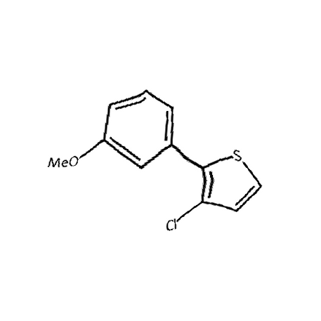 COc1cccc(-c2sccc2Cl)c1